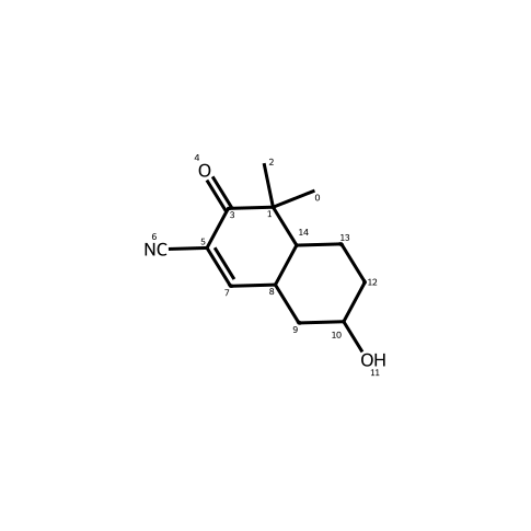 CC1(C)C(=O)C(C#N)=CC2CC(O)CCC21